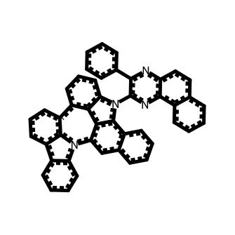 c1ccc(-c2nc3ccc4ccccc4c3nc2-n2c3cccc4c5cccc6c7ccccc7n(c7cc8ccccc8c2c7c43)c56)cc1